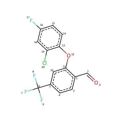 O=Cc1ccc(C(F)(F)F)cc1Oc1ccc(F)cc1Cl